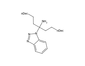 CCCCCCCCCCCCC(N)(CCCCCCCCCCCC)n1nnc2ccccc21